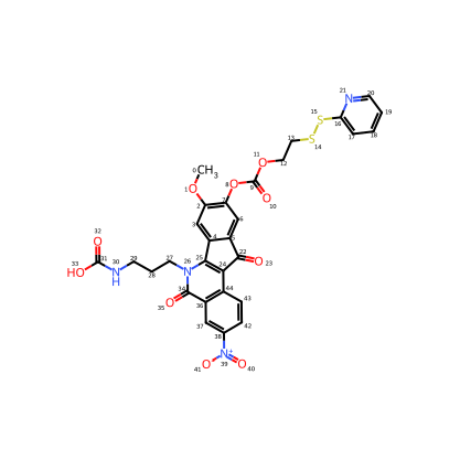 COc1cc2c(cc1OC(=O)OCCSSc1ccccn1)C(=O)c1c-2n(CCCNC(=O)O)c(=O)c2cc([N+](=O)[O-])ccc12